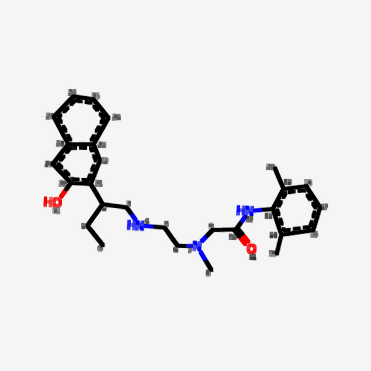 CCC(CNCCN(C)CC(=O)Nc1c(C)cccc1C)c1cc2ccccc2cc1O